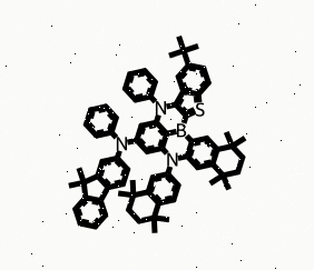 CC(C)(C)c1ccc2sc3c(c2c1)N(c1ccccc1)c1cc(N(c2ccccc2)c2ccc4c(c2)C(C)(C)c2ccccc2-4)cc2c1B3c1cc3c(cc1N2c1ccc2c(c1)C(C)(C)CCC2(C)C)C(C)(C)CCC3(C)C